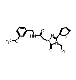 CC(C)Cn1c(-c2cccs2)nn(CC(=O)NCc2cccc(OC(F)(F)F)c2)c1=O